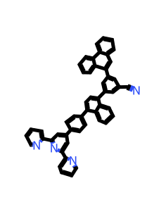 N#Cc1cc(-c2ccc(-c3ccc(-c4cc(-c5ccccn5)nc(-c5ccccn5)c4)cc3)c3ccccc23)cc(-c2cc3ccccc3c3ccccc23)c1